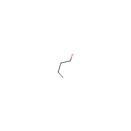 C[CH]C[C@H](C)CO